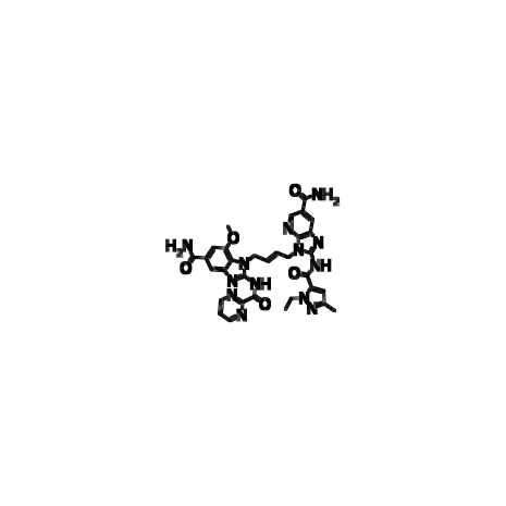 CCn1nc(C)cc1C(=O)Nc1nc2cc(C(N)=O)cnc2n1CC=CCn1c(NC(=O)c2ncccn2)nc2cc(C(N)=O)cc(OC)c21